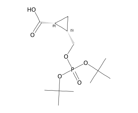 CC(C)(C)OP(=O)(OC[C@H]1C[C@H]1C(=O)O)OC(C)(C)C